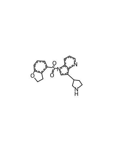 O=S(=O)(c1cccc2c1CCO2)n1cc(C2CCNC2)c2ncccc21